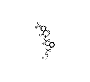 CCOC(=O)C[C@H](NC(=O)CN1CCOc2ccc([N+](=O)[O-])cc2C1=O)c1ccccc1